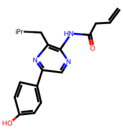 C=CCC(=O)Nc1ncc(-c2ccc(O)cc2)nc1CC(C)C